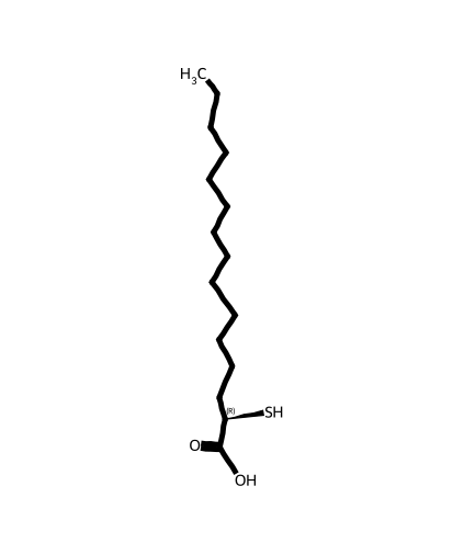 CCCCCCCCCCCCC[C@@H](S)C(=O)O